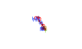 CCC(C(C)C)N(NC=O)C(=O)Nc1ccc(N2CCN(c3ccc(OC[C@@H]4CO[C@@](Cn5cncn5)(c5ccc(F)cc5F)C4)cc3)CC2)cc1